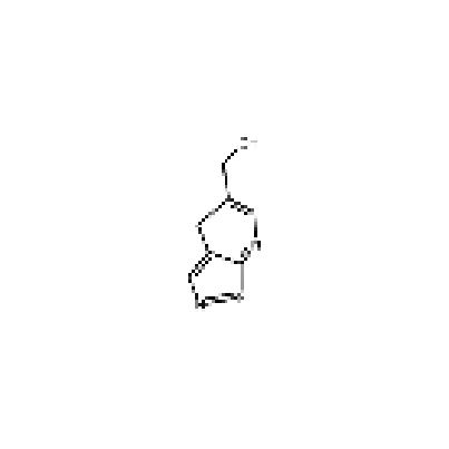 OCC1=CN=C2N=NC=C2C1